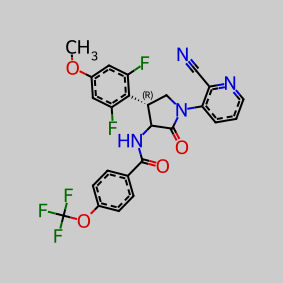 COc1cc(F)c([C@@H]2CN(c3cccnc3C#N)C(=O)C2NC(=O)c2ccc(OC(F)(F)F)cc2)c(F)c1